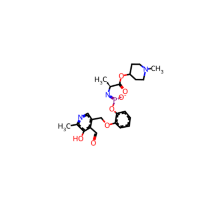 Cc1ncc(COc2ccccc2O[P+]([O-])=N[C@@H](C)C(=O)OC2CCN(C)CC2)c(C=O)c1O